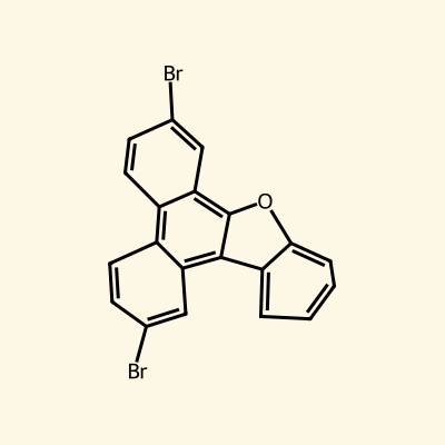 Brc1ccc2c3ccc(Br)cc3c3c4ccccc4oc3c2c1